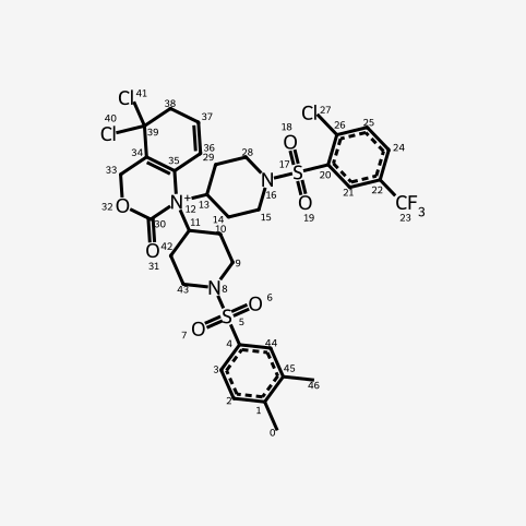 Cc1ccc(S(=O)(=O)N2CCC([N+]3(C4CCN(S(=O)(=O)c5cc(C(F)(F)F)ccc5Cl)CC4)C(=O)OCC4=C3C=CCC4(Cl)Cl)CC2)cc1C